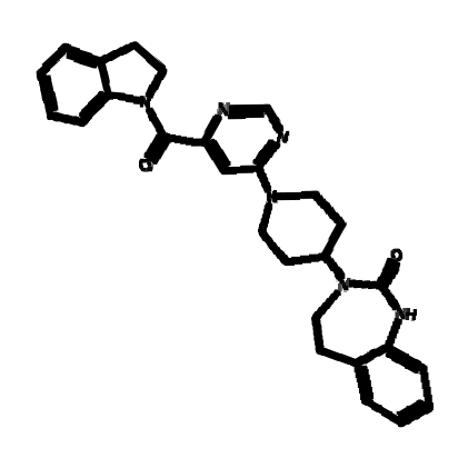 O=C(c1cc(N2CCC(N3CCc4ccccc4NC3=O)CC2)ncn1)N1CCc2ccccc21